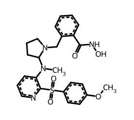 COc1ccc(S(=O)(=O)c2ncccc2N(C)C2CCCN2Cc2ccccc2C(=O)NO)cc1